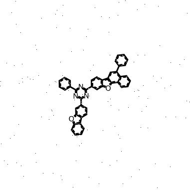 c1ccc(-c2nc(-c3ccc4c(c3)oc3ccccc34)nc(-c3ccc4c(c3)oc3c5ccccc5c(-c5ccccc5)cc43)n2)cc1